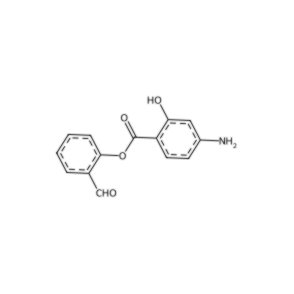 Nc1ccc(C(=O)Oc2ccccc2C=O)c(O)c1